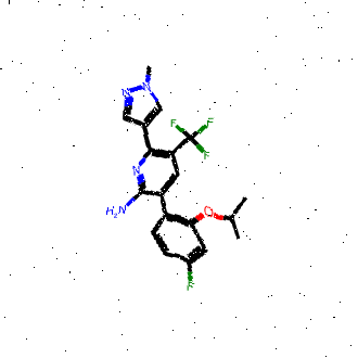 CC(C)Oc1cc(F)ccc1-c1cc(C(F)(F)F)c(-c2cnn(C)c2)nc1N